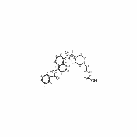 Cc1ccccc1C(=O)Nc1cccc2c(S(=O)(=O)NC3CCN(CCCC(=O)O)CC3)cccc12